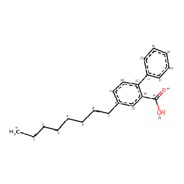 CCCCCCCCc1ccc(-c2ccccc2)c(C(=O)O)c1